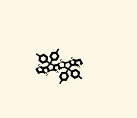 Cc1ccc(C2(c3ccc(C)cc3)c3c(sc4c3SC3c5sc6ccsc6c5C(c5ccc(C)cc5)(c5ccc(C)cc5)C43)-c3sc4ccsc4c32)cc1